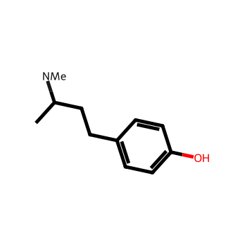 CNC(C)CCc1ccc(O)cc1